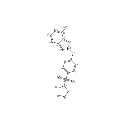 O=S(=O)(c1ccc(Cn2cc3c(Cl)ncnc3n2)cc1)C1CCCC1